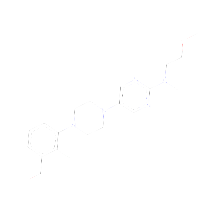 COCCN(C)c1ncc(N2CCN(c3cccc(CO)c3F)CC2)cn1